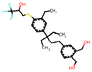 CCc1cc(C(CC)(CC)CCc2ccc(CO)c(CO)c2)ccc1SCC(O)C(F)(F)F